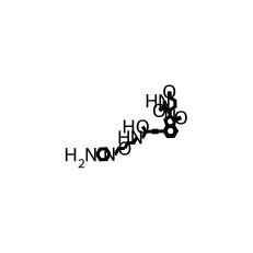 NC1CCN(CCOCCNCC(O)C#Cc2cccc3c2CN(C2CCC(=O)NC2=O)C3=O)CC1